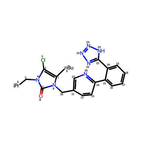 CCCCc1c(Cl)n(CC(C)C)c(=O)n1Cc1ccc(-c2ccccc2-c2nnn[nH]2)nc1